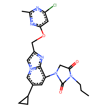 CCCN1C(=O)CN(c2cc(C3CC3)cn3cc(COc4cc(Cl)nc(C)n4)nc23)C1=O